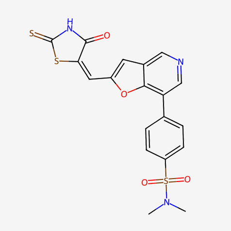 CN(C)S(=O)(=O)c1ccc(-c2cncc3cc(C=C4SC(=S)NC4=O)oc23)cc1